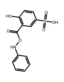 O=C(ONc1ccccc1)c1cc(S(=O)(=O)O)ccc1O